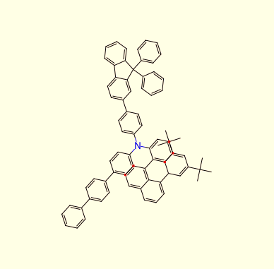 CC(C)(C)C1=CC(c2cccc3cccc(-c4ccccc4N(c4ccc(-c5ccc(-c6ccccc6)cc5)cc4)c4ccc(-c5ccc6c(c5)C(c5ccccc5)(c5ccccc5)c5ccccc5-6)cc4)c23)CC(C(C)(C)C)=C1